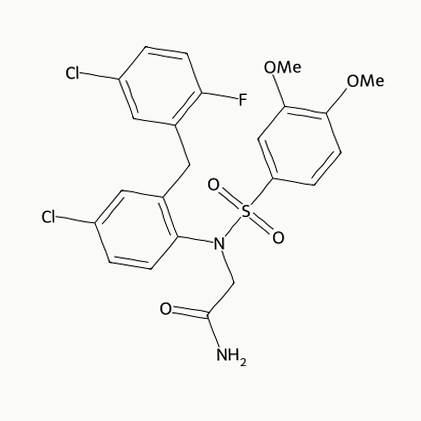 COc1ccc(S(=O)(=O)N(CC(N)=O)c2ccc(Cl)cc2Cc2cc(Cl)ccc2F)cc1OC